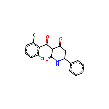 O=C1CC(c2ccccc2)NC(=O)C1C(=O)c1c(Cl)cccc1Cl